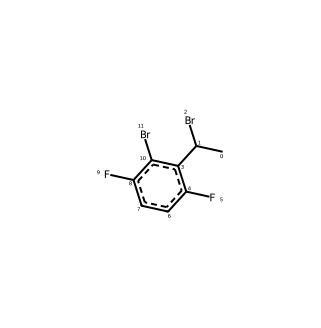 CC(Br)c1c(F)ccc(F)c1Br